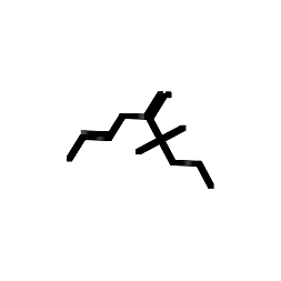 [CH]=C(CC=CC)C(C)(C)CCC